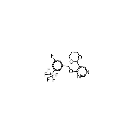 Fc1cc(COc2ncncc2C2OCCCO2)cc(S(F)(F)(F)(F)F)c1